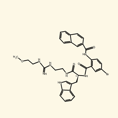 COCCNC(=N)NCCNC(=O)[C@H](Cc1c[nH]c2ccccc12)NC(=O)c1cc(Br)ccc1NC(=O)c1ccc2ccccc2c1